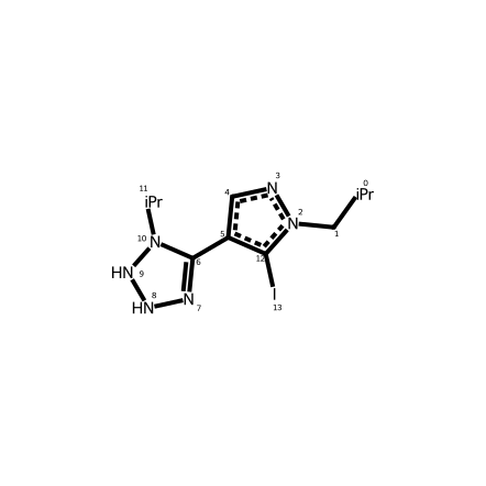 CC(C)Cn1ncc(C2=NNNN2C(C)C)c1I